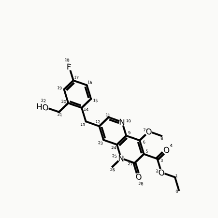 CCOC(=O)c1c(OC)c2ncc(Cc3ccc(F)cc3CO)cc2n(C)c1=O